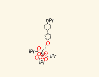 CCCC1CCC(c2ccc(OCCC[Si](OC(=O)C(C)C)(OC(=O)C(C)C)OC(=O)C(C)C)cc2)CC1